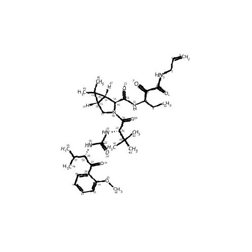 C=CCNC(=O)C(=O)C(CC)NC(=O)[C@@H]1[C@@H]2[C@H](CN1C(=O)[C@@H](NC(=O)N[C@H](C(=O)c1ccccc1OC)C(C)C)C(C)(C)C)C2(C)C